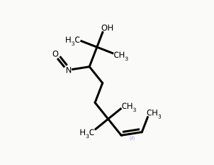 C/C=C\C(C)(C)CCC(N=O)C(C)(C)O